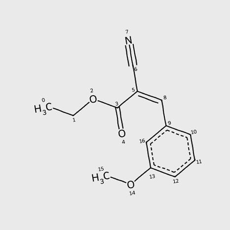 CCOC(=O)/C(C#N)=C\c1cccc(OC)c1